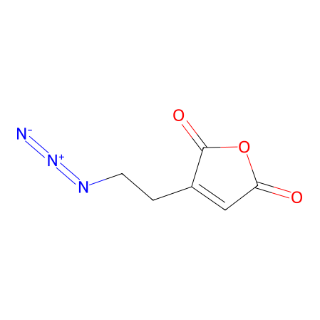 [N-]=[N+]=NCCC1=CC(=O)OC1=O